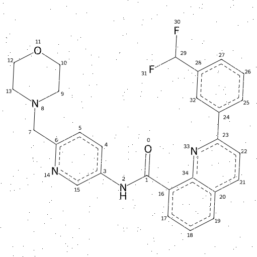 O=C(Nc1ccc(CN2CCOCC2)nc1)c1cccc2ccc(-c3cccc(C(F)F)c3)nc12